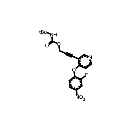 CC(C)(C)NC(=O)OCC#Cc1cnccc1Oc1ccc([N+](=O)[O-])cc1F